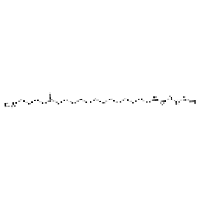 O=C(O)CCCCNCCCCCCCCCCCCCOOOOOO